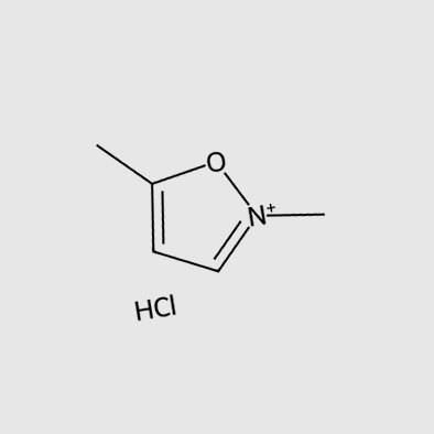 Cc1cc[n+](C)o1.Cl